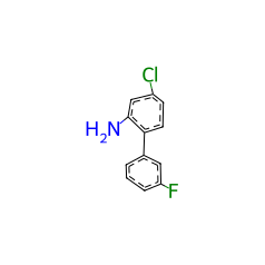 Nc1cc(Cl)ccc1-c1cccc(F)c1